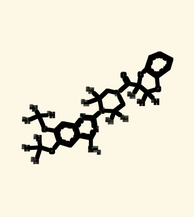 [2H]C([2H])([2H])Oc1cc2nc(N3C([2H])([2H])CN(C(=O)C4([2H])Oc5ccccc5OC4([2H])[2H])CC3([2H])[2H])nc(N)c2cc1OC([2H])([2H])[2H]